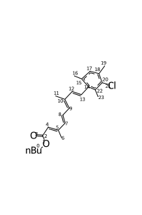 CCCCOC(=O)C=C(C)C=CC=C(C)C=Cc1c(C)cc(C)c(Cl)c1C